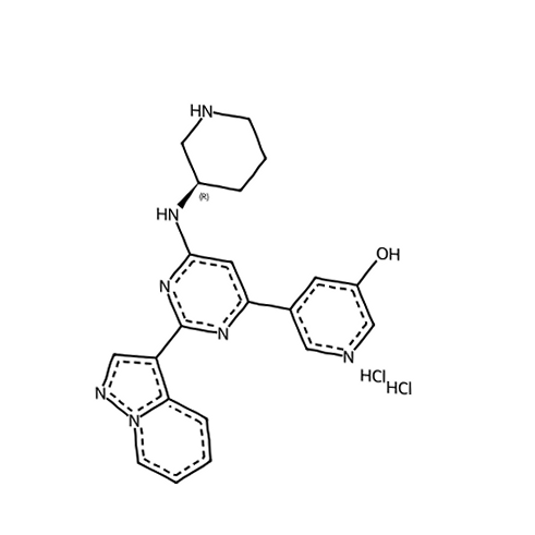 Cl.Cl.Oc1cncc(-c2cc(N[C@@H]3CCCNC3)nc(-c3cnn4ccccc34)n2)c1